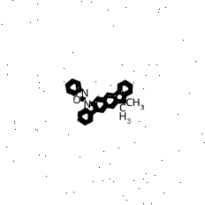 CC1(C)c2ccccc2-c2cc3cc4c(cc3cc21)c1ccccc1n4-c1nc2ccccc2o1